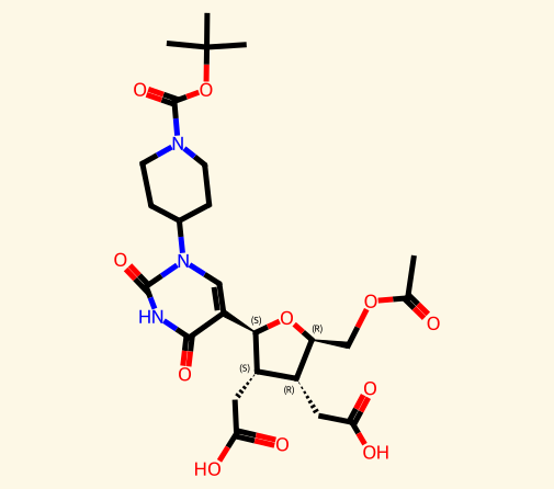 CC(=O)OC[C@@H]1O[C@H](c2cn(C3CCN(C(=O)OC(C)(C)C)CC3)c(=O)[nH]c2=O)[C@@H](CC(=O)O)[C@H]1CC(=O)O